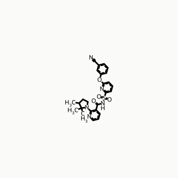 CC1CCN(c2ncccc2C(=O)NS(=O)(=O)c2cccc(Oc3cccc(C#N)c3)n2)C1(C)C